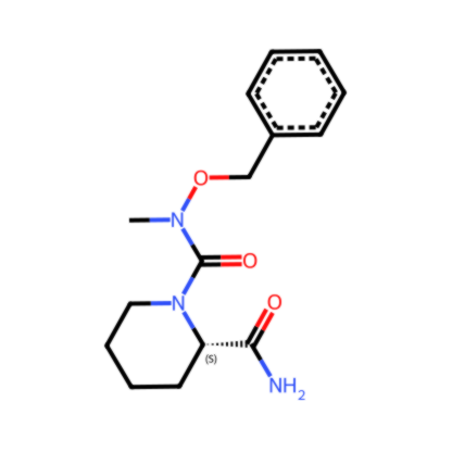 CN(OCc1ccccc1)C(=O)N1CCCC[C@H]1C(N)=O